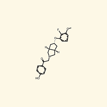 COc1cccc(O[C@@H]2C[C@@H]3CN(CC(=O)c4ccc(O)cc4)C[C@@H]3C2)c1F